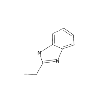 CCC1=Nc2ccccc2[N]1